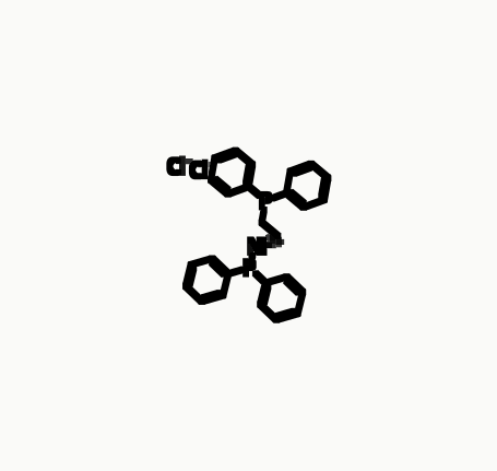 CCP(c1ccccc1)c1ccccc1.[Cl-].[Cl-].[Ni+2][P](c1ccccc1)c1ccccc1